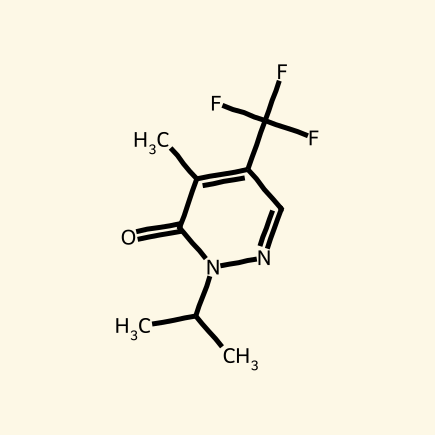 Cc1c(C(F)(F)F)cnn(C(C)C)c1=O